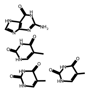 Cc1c[nH]c(=O)[nH]c1=O.Cc1c[nH]c(=O)[nH]c1=O.Cc1c[nH]c(=O)[nH]c1=O.Nc1nc2nc[nH]c2c(=O)[nH]1